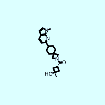 Cn1ccc2ccc(C3CCC4(CC3)CN(C(=O)[C@H]3C[C@@](C)(O)C3)C4)nc21